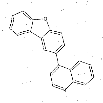 c1ccc2c(-c3ccc4oc5ccccc5c4c3)ccnc2c1